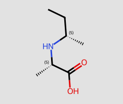 CC[C@H](C)N[C@@H](C)C(=O)O